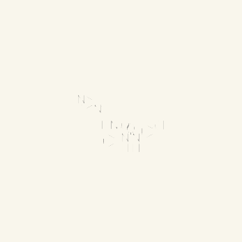 O=C(Nc1ccc(Cl)cc1)NC(C(=O)NCC1CCN(c2ccncc2)CC1)c1ccccc1